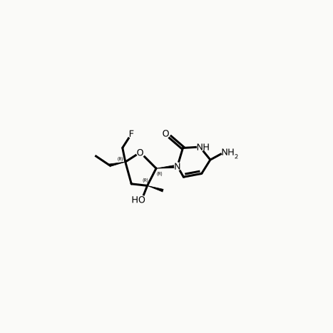 CC[C@]1(CF)C[C@@](C)(O)[C@H](N2C=CC(N)NC2=O)O1